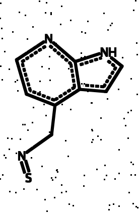 S=NCc1ccnc2[nH]ccc12